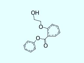 O=C(Oc1ccccc1)c1ccccc1OCCO